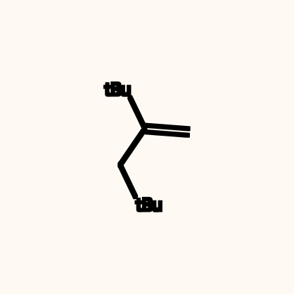 C=C(CC(C)(C)C)C(C)(C)C